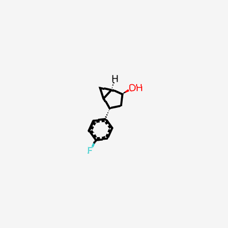 O[C@H]1C[C@H](c2ccc(F)cc2)C2C[C@H]21